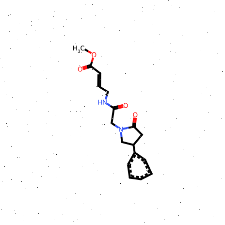 COC(=O)/C=C/CNC(=O)CN1CC(c2ccccc2)CC1=O